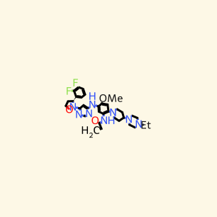 C=CC(=O)Nc1cc(Nc2cc(N3OCC[C@@H]3c3cccc(F)c3F)ncn2)c(OC)cc1N1CCC(N2CCN(CC)CC2)CC1